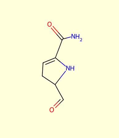 NC(=O)C1=CCC(C=O)N1